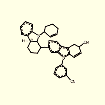 N#Cc1cccc(-n2c3c(c4ccc(C5CCC[C@H]6c7ccccc7N(C7C=CCCC7)C56)cc42)CC(C#N)C=C3)c1